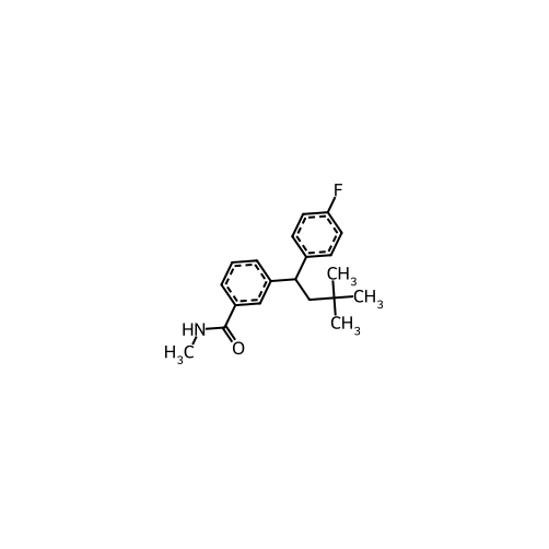 CNC(=O)c1cccc(C(CC(C)(C)C)c2ccc(F)cc2)c1